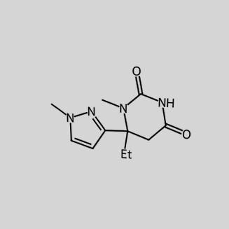 CCC1(c2ccn(C)n2)CC(=O)NC(=O)N1C